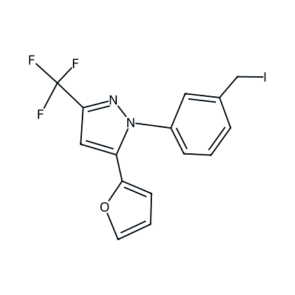 FC(F)(F)c1cc(-c2ccco2)n(-c2cccc(CI)c2)n1